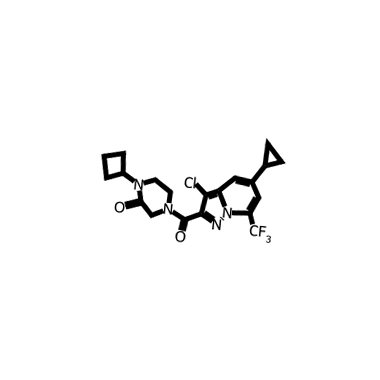 O=C(c1nn2c(C(F)(F)F)cc(C3CC3)cc2c1Cl)N1CCN(C2CCC2)C(=O)C1